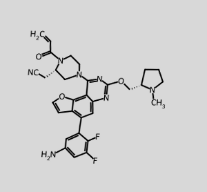 C=CC(=O)N1CCN(c2nc(OC[C@@H]3CCCN3C)nc3cc(-c4cc(N)cc(F)c4F)c4ccoc4c23)C[C@@H]1CC#N